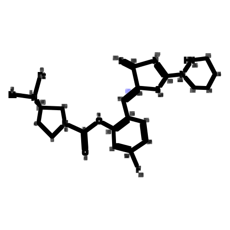 CCN(CC)[C@@H]1CCN(C(=O)Oc2cc(F)ccc2/C=C2\SC(N3CCCCN3)=NC2=S)C1